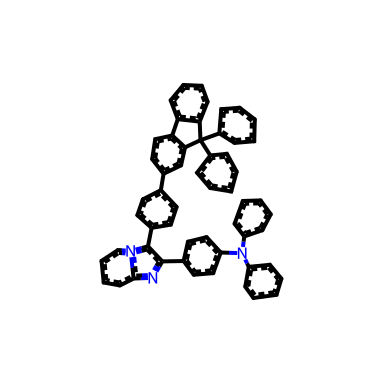 c1ccc(N(c2ccccc2)c2ccc(-c3nc4ccccn4c3-c3ccc(-c4ccc5c(c4)C(c4ccccc4)(c4ccccc4)c4ccccc4-5)cc3)cc2)cc1